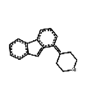 C1=c2c(cccc2=C2CCNCC2)-c2ccccc21